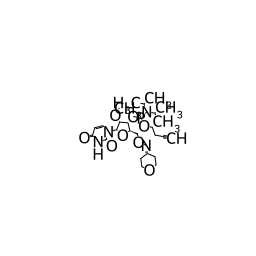 C#CCCOP(OC1C(OC)[C@H](n2ccc(=O)[nH]c2=O)O[C@@H]1CON=C1CCOCC1)N(C(C)C)C(C)C